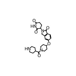 O=C1CCC(N2Cc3cc(OC4CCN(C(=O)C5CCNCC5)CC4)ccc3C2=O)C(=O)N1